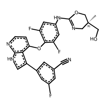 C[C@]1(CO)CN=C(Nc2cc(F)c(Oc3ccnc4[nH]cc(-c5cc(F)cc(C#N)c5)c34)c(F)c2)OC1